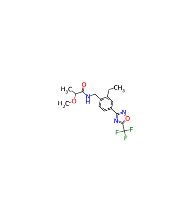 CCc1cc(-c2noc(C(F)(F)F)n2)ccc1CNC(=O)C(C)OC